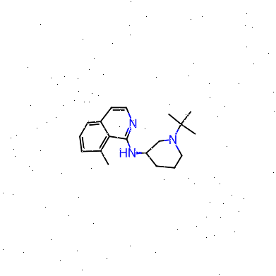 Cc1cccc2ccnc(N[C@@H]3CCCN(C(C)(C)C)C3)c12